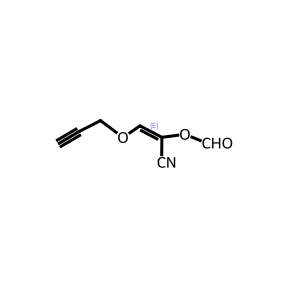 C#CCO/C=C(\C#N)OC=O